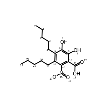 CCCCCc1c(O)c(O)c(C(=O)O)c([N+](=O)[O-])c1CCCCC